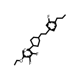 CCCc1ccc(CCC2CCC(c3ccc(OCC)c(F)c3F)CC2)cc1F